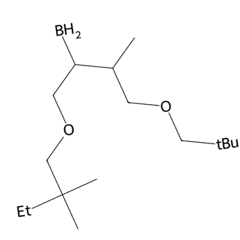 BC(COCC(C)(C)CC)C(C)COCC(C)(C)C